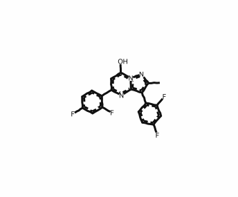 Cc1nn2c(O)cc(-c3ccc(F)cc3F)nc2c1-c1ccc(F)cc1F